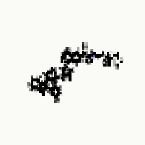 CN(C)C/C=C/C(=O)Nc1ccc2c(N3CC[C@H](Nc4nccc(-c5c(-c6ccccc6)nn6ccccc56)n4)C3)nccc2c1